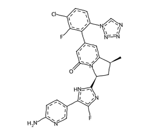 C[C@H]1C[C@@H](c2nc(F)c(-c3ccc(N)nc3)[nH]2)n2c1cc(-c1c(-n3cnnn3)ccc(Cl)c1F)cc2=O